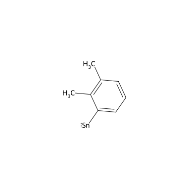 Cc1ccc[c]([Sn])c1C